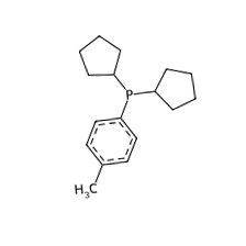 Cc1ccc(P(C2CCCC2)C2CCCC2)cc1